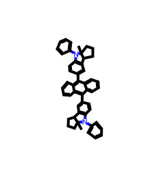 CC12CCCC1c1cc(-c3c4ccccc4c(-c4ccc5c(c4)C4CCCC4(C)N5c4ccccc4)c4ccccc34)ccc1N2c1ccccc1